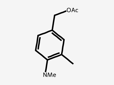 CNc1ccc(COC(C)=O)cc1C